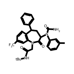 Cc1cccc(N(C(N)=O)C2CC(c3ccccc3)c3ccc(C(F)(F)F)cc3N(CC(=O)NC(C)(C)C)C2=O)c1